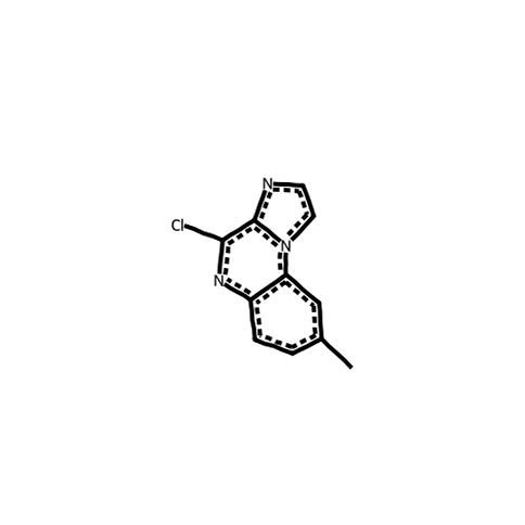 Cc1ccc2nc(Cl)c3nccn3c2c1